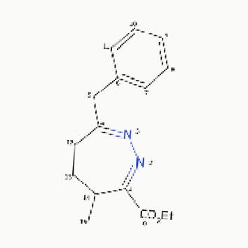 CCOC(=O)C1=NN=C(Cc2ccccc2)CCC1C